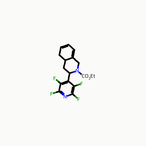 CCOC(=O)N1CC2=CC=CCC2CC1c1c(F)c(F)nc(F)c1F